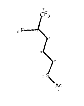 CC(=O)SCCCC(F)C(F)(F)F